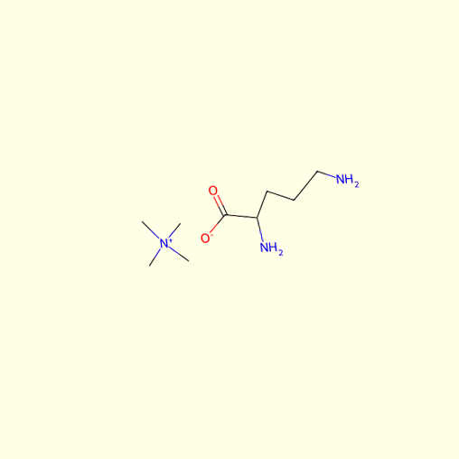 C[N+](C)(C)C.NCCCC(N)C(=O)[O-]